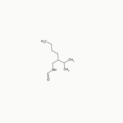 CCCCC(CNC=O)C(C)C